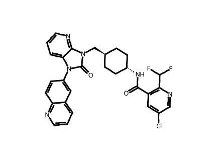 O=C(N[C@H]1CC[C@H](Cn2c(=O)n(-c3ccc4ncccc4c3)c3cccnc32)CC1)c1cc(Cl)cnc1C(F)F